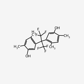 Cc1cc(C)c(C(c2cc(O)c(C)cc2C)(C(F)(F)F)C(F)(F)F)cc1O